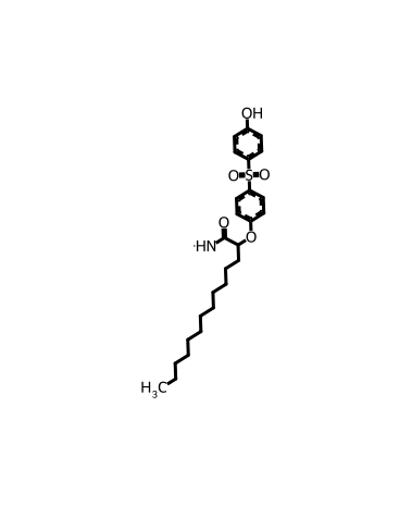 CCCCCCCCCCCCC(Oc1ccc(S(=O)(=O)c2ccc(O)cc2)cc1)C([NH])=O